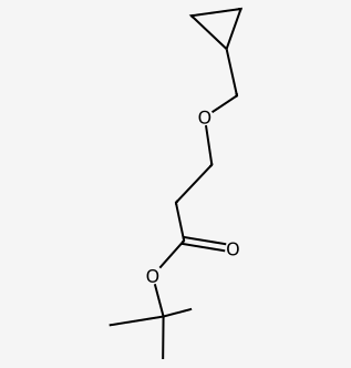 CC(C)(C)OC(=O)CCOCC1CC1